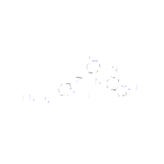 Cc1c(Nc2c(C#N)cncc2/C=C/c2ccc(CN3CCN(C(C)C)CC3)cn2)ccc2[nH]ccc12